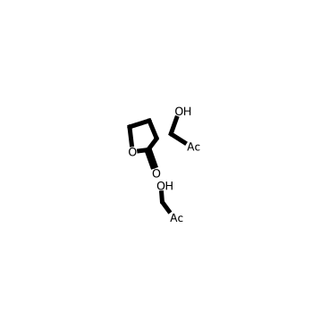 CC(=O)CO.CC(=O)CO.O=C1CCCO1